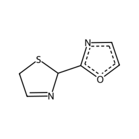 C1=NC(c2ncco2)SC1